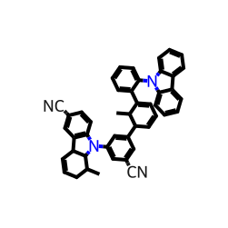 CC1CC=CC2c3cc(C#N)ccc3N(c3cc(C#N)cc(C4C=CC=C(c5ccccc5-n5c6ccccc6c6ccccc65)C4C)c3)C12